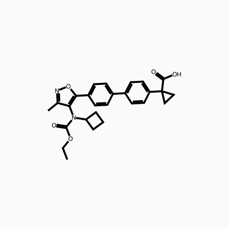 CCOC(=O)N(c1c(C)noc1-c1ccc(-c2ccc(C3(C(=O)O)CC3)cc2)cc1)C1CCC1